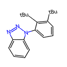 CC(C)(C)c1cccc(-n2nnc3ccccc32)c1C(C)(C)C